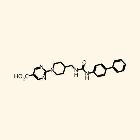 O=C(NCC1CCN(c2ncc(C(=O)O)cn2)CC1)Nc1ccc(-c2ccccc2)cc1